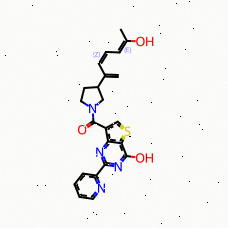 C=C(/C=C\C=C(/C)O)C1CCN(C(=O)c2csc3c(O)nc(-c4ccccn4)nc23)C1